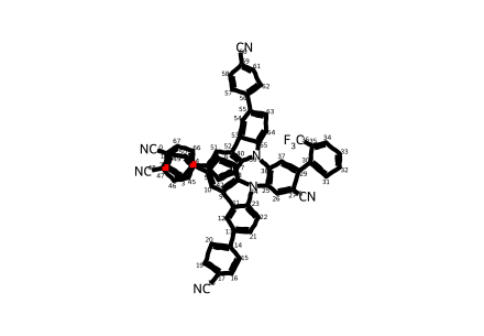 N#Cc1ccc(-c2ccc3c(c2)c2cc(-c4ccc(C#N)cc4)ccc2n3-c2cc(C#N)c(-c3ccccc3C(F)(F)F)cc2-n2c3ccc(-c4ccc(C#N)cc4)cc3c3cc(-c4ccc(C#N)cc4)ccc32)cc1